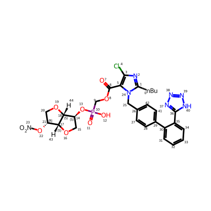 CCCCc1nc(Cl)c(C(=O)OCP(=O)(O)O[C@H]2CO[C@H]3[C@@H]2OC[C@H]3O[N+](=O)[O-])n1Cc1ccc(-c2ccccc2-c2nnn[nH]2)cc1